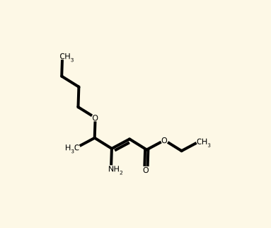 CCCCOC(C)/C(N)=C/C(=O)OCC